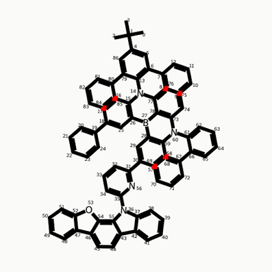 CC(C)(C)c1cc(-c2ccccc2)c(N2c3ccc(-c4ccccc4)cc3B3c4cc(-c5cccc(-n6c7ccccc7c7ccc8c9ccccc9oc8c76)n5)ccc4N(c4ccccc4-c4ccccc4)c4cccc2c43)c(-c2ccccc2)c1